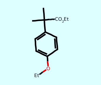 CCOC(=O)C(C)(C)c1ccc(OCC)cc1